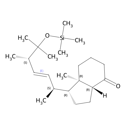 C[C@@H](/C=C/[C@H](C)C(C)(C)O[Si](C)(C)C)[C@H]1CC[C@H]2C(=O)CCC[C@]12C